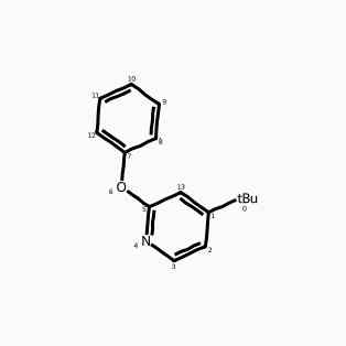 CC(C)(C)c1ccnc(Oc2[c]cccc2)c1